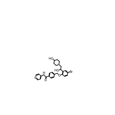 O=C(Nc1ccncc1)c1ccc(COc2ccc(Br)cc2C(O)CN2CCC(O)CC2)cc1